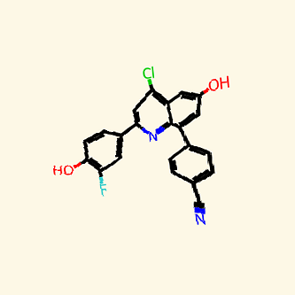 N#Cc1ccc(-c2cc(O)cc3c(Cl)cc(-c4ccc(O)c(F)c4)nc23)cc1